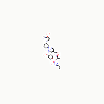 CCC1CN(C(=O)O[C@H]2CC[C@H](C(=O)N(C[C@H]3CC[C@H](c4ccc(OC)c(C)n4)CC3)c3cc(-c4coc(C(C)C)n4)ccn3)CC2)C1